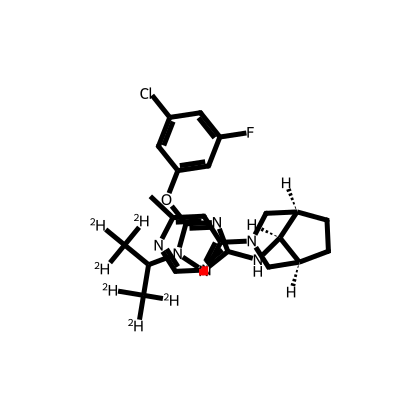 [2H]C([2H])([2H])C(n1nc(N[C@H]2[C@@H]3CC[C@H]2CN(c2cc(C)ncn2)C3)nc1Oc1cc(F)cc(Cl)c1)C([2H])([2H])[2H]